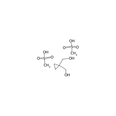 CS(=O)(=O)O.CS(=O)(=O)O.OCC1(CO)CC1